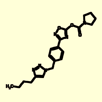 CCCCc1cn(Cc2ccc(-c3noc(OC(=O)N4CCCC4)n3)cc2)nn1